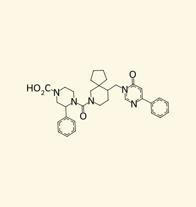 O=C(O)N1CCN(C(=O)N2CCC(Cn3cnc(-c4ccccc4)cc3=O)C3(CCCC3)C2)C(c2ccccc2)C1